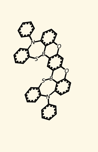 c1ccc(N2c3ccccc3SB3c4cc5c(cc4Oc4cccc2c43)Oc2cccc3c2B5Sc2ccccc2N3c2ccccc2)cc1